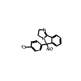 O=NC1(c2ccc(Cl)cc2)c2ccccc2C2=NCCN21